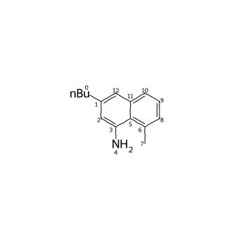 CCCCc1cc(N)c2c(C)cccc2c1